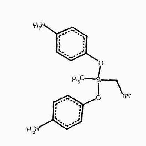 CC(C)C[Si](C)(Oc1ccc(N)cc1)Oc1ccc(N)cc1